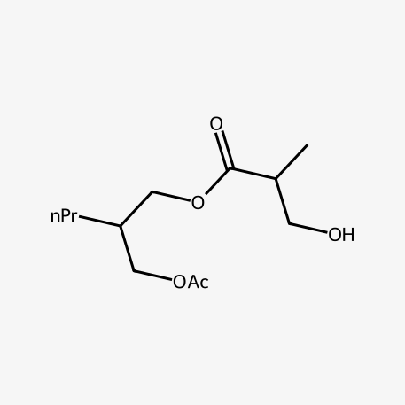 CCCC(COC(C)=O)COC(=O)C(C)CO